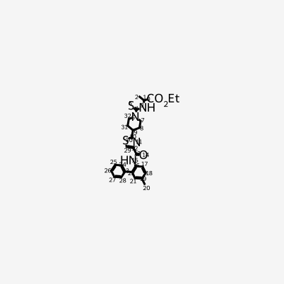 CCOC(=O)C(C)NC(=S)N1CCC(c2nc(C(=O)Nc3ccc(C)cc3-c3ccccc3)cs2)CC1